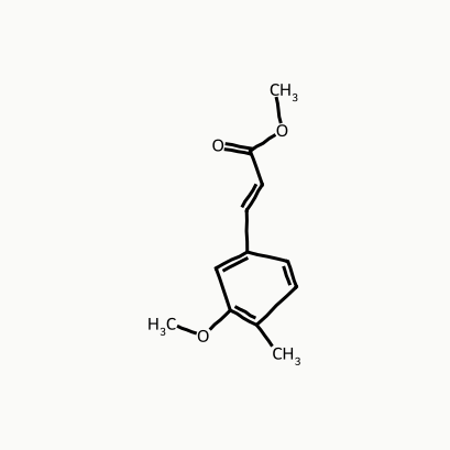 COC(=O)/C=C/c1ccc(C)c(OC)c1